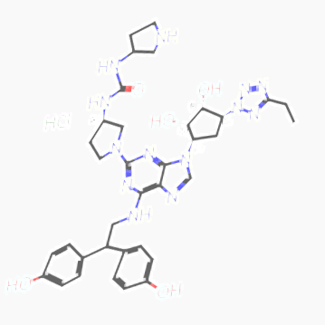 CCc1nnn([C@H]2C[C@@H](n3cnc4c(NCC(c5ccc(O)cc5)c5ccc(O)cc5)nc(N5CC[C@@H](NC(=O)NC6CCNC6)C5)nc43)[C@H](O)[C@@H]2O)n1.Cl